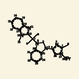 Cc1nc(N2CN(C(C)(C)c3nc4ccccc4n3C)c3ccccc32)cn1C(C)C